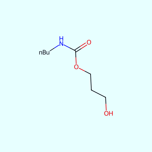 CCCCNC(=O)OCCCO